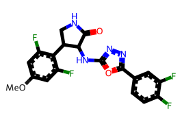 COc1cc(F)c(C2CNC(=O)C2Nc2nnc(-c3ccc(F)c(F)c3)o2)c(F)c1